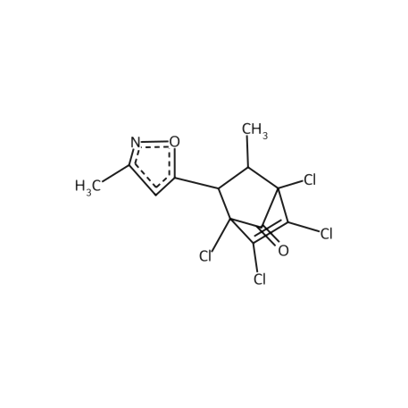 Cc1cc(C2C(C)C3(Cl)C(=O)C2(Cl)C(Cl)=C3Cl)on1